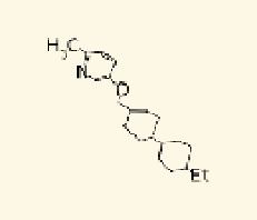 CCC1CCC(C2CCC(COc3ccc(C)nc3)CC2)CC1